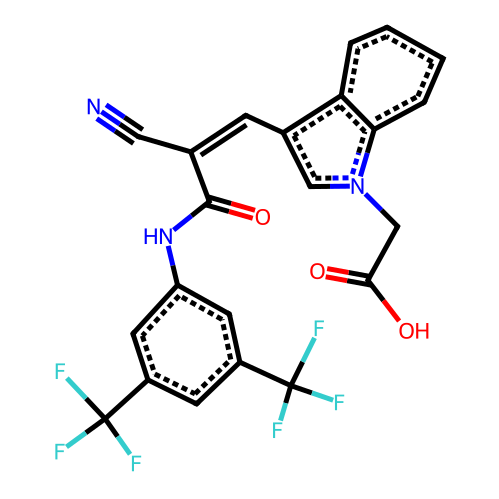 N#CC(=Cc1cn(CC(=O)O)c2ccccc12)C(=O)Nc1cc(C(F)(F)F)cc(C(F)(F)F)c1